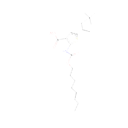 CCCCCCCCOC(=O)Nc1sc(C(C)CC(C)(C)C)cc1C(=O)O